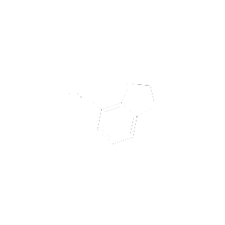 CC(=O)Nc1cccc2c1OCO2